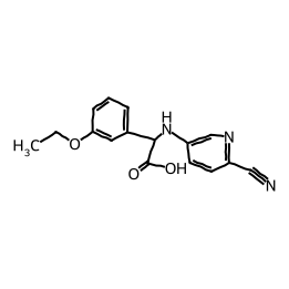 CCOc1cccc(C(Nc2ccc(C#N)nc2)C(=O)O)c1